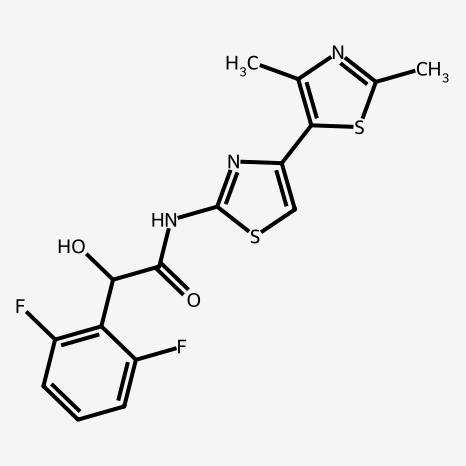 Cc1nc(C)c(-c2csc(NC(=O)C(O)c3c(F)cccc3F)n2)s1